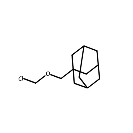 ClCOCC12CC3CC(CC(C3)C1)C2